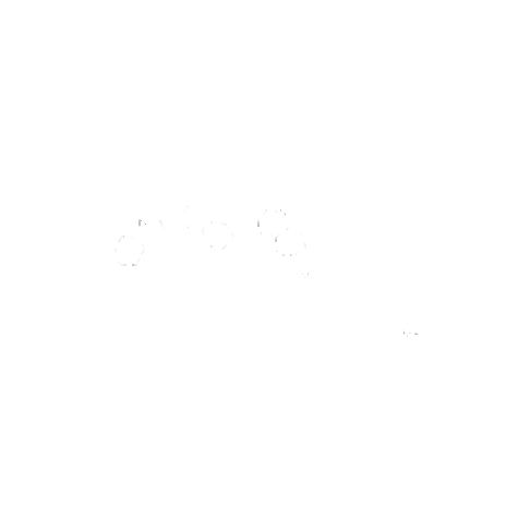 COSCCCCCCOc1cc2nccc(Oc3ccc(NC(=O)C4(C(=O)Nc5ccc(F)cc5)CC4)cc3F)c2cc1OC